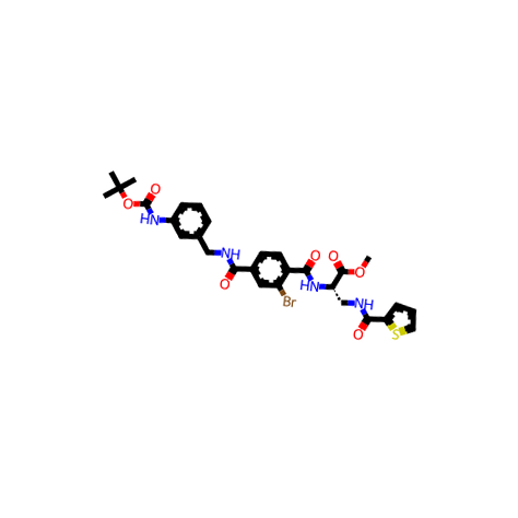 COC(=O)[C@H](CNC(=O)c1cccs1)NC(=O)c1ccc(C(=O)NCc2cccc(NC(=O)OC(C)(C)C)c2)cc1Br